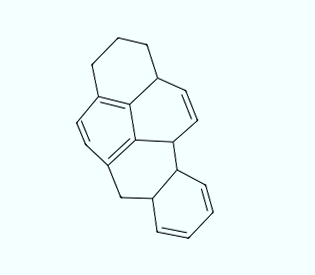 C1=CC2Cc3ccc4c5c3C(C=CC5CCC4)C2C=C1